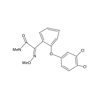 CNC(=O)C(=NOC)c1ccccc1Oc1ccc(Cl)c(Cl)c1